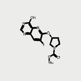 CC(C)(C)OC(=O)N1CC[C@H](Oc2nc3c(O)ncnc3cc2F)C1